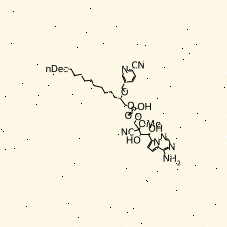 CCCCCCCCCCCCCCCCCCCC[C@H](COP(=O)(O)OCC(C#N)(OC)[C@@H](O)[C@@H](O)c1ccc2c(N)ncnn12)OCc1ccc(C#N)nc1